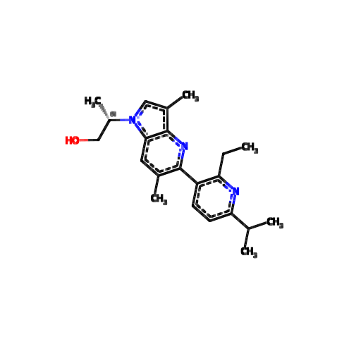 CCc1nc(C(C)C)ccc1-c1nc2c(C)cn([C@@H](C)CO)c2cc1C